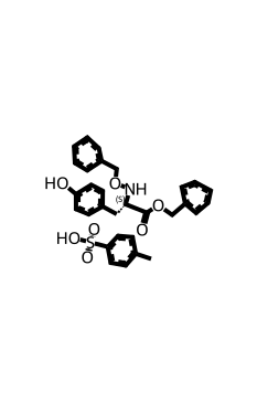 Cc1ccc(S(=O)(=O)O)cc1.O=C(OCc1ccccc1)[C@H](Cc1ccc(O)cc1)NOCc1ccccc1